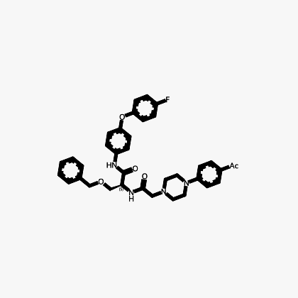 CC(=O)c1ccc(N2CCN(CC(=O)N[C@@H](COCc3ccccc3)C(=O)Nc3ccc(Oc4ccc(F)cc4)cc3)CC2)cc1